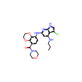 CCCNc1cc(Nc2ccc(C(=O)N3CCOCC3)c3c2OCCO3)nc2[nH]cc(Cl)c12